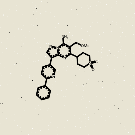 COCc1c(C2CCS(=O)(=O)CC2)nc2c(-c3ccc(-c4ccccc4)nc3)cnn2c1N